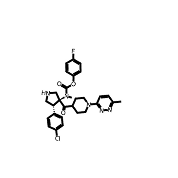 Cc1ccc(N2CCC(C(=O)[C@@]3(N(C)C(=O)Oc4ccc(F)cc4)CNC[C@H]3c3ccc(Cl)cc3)CC2)nn1